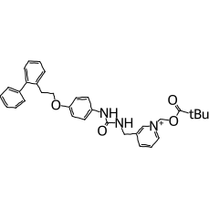 CC(C)(C)C(=O)OC[n+]1cccc(CNC(=O)Nc2ccc(OCCc3ccccc3-c3ccccc3)cc2)c1